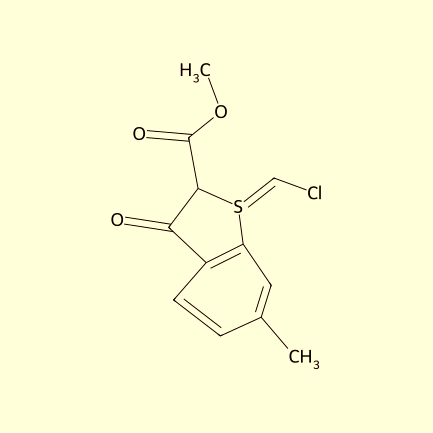 COC(=O)C1C(=O)c2ccc(C)cc2S1=CCl